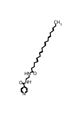 CCC=CCC=CCC=CCC=CCC=CCCCC(=O)NCCNC(=O)c1ccncc1